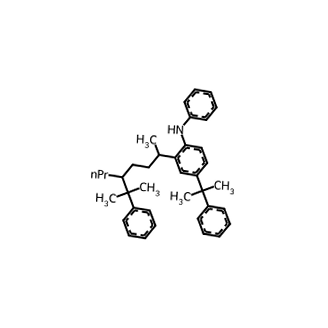 CCCC(CCC(C)c1cc(C(C)(C)c2ccccc2)ccc1Nc1ccccc1)C(C)(C)c1ccccc1